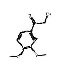 COc1ccc(C(=O)CBr)cc1SC